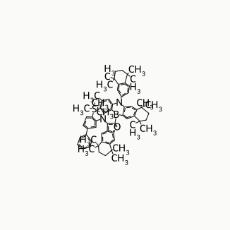 Cc1cc2c3c(c1)N(c1cc(-c4ccccc4)ccc1[Si](C)(C)C)c1c(oc4cc5c(cc14)C(C)(C)CCC5(C)C)B3c1cc3c(cc1N2c1ccc2c(c1)C(C)(C)CCC2(C)C)C(C)(C)CCC3(C)C